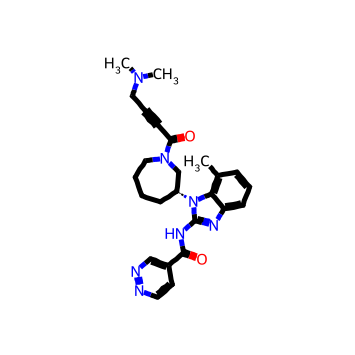 Cc1cccc2nc(NC(=O)c3ccnnc3)n([C@@H]3CCCCN(C(=O)C#CCN(C)C)C3)c12